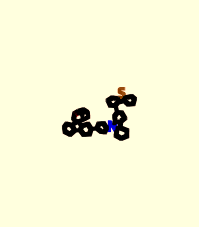 c1ccc2c(c1)-c1ccc(-c3ccc(-n4c5ccccc5c5ccc(-c6cccc7sc8ccccc8c67)cc54)cc3)cc1C21C2CC3CC(C2)CC1C3